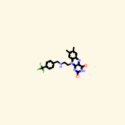 Cc1cc2nc3c(=O)[nH]c(=O)nc-3n(CCNCc3ccc(C(F)(F)F)cc3)c2cc1C